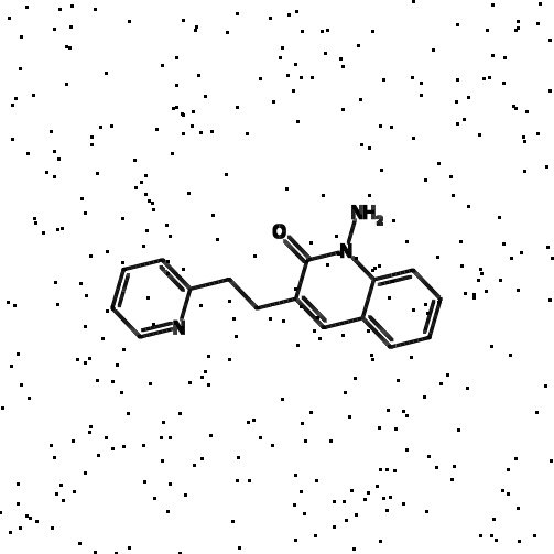 Nn1c(=O)c(CCc2ccccn2)cc2ccccc21